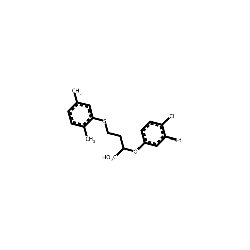 CCc1cc(OC(CCSc2cc(C)ccc2C)C(=O)O)ccc1Cl